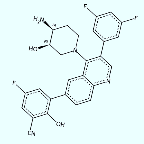 N#Cc1cc(F)cc(-c2ccc3ncc(-c4cc(F)cc(F)c4)c(N4CC[C@H](N)[C@H](O)C4)c3c2)c1O